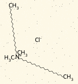 CCCCCCCCCCCCCCCCCCCCCC[N+](CC)(CC)CCCCCCCCCCCCCCCCCCCCCC.[Cl-]